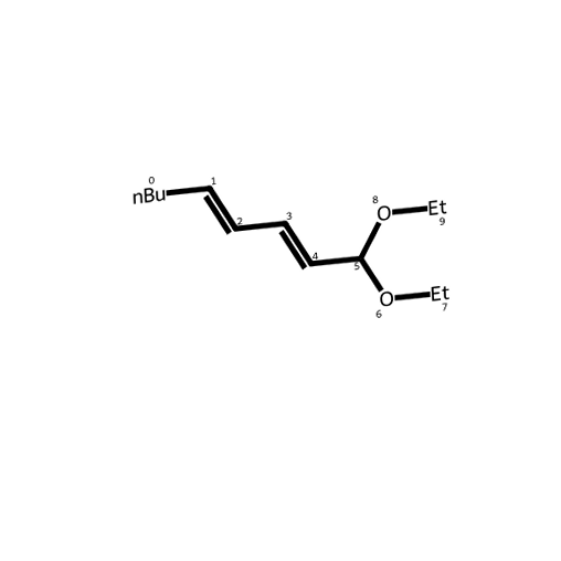 CCCCC=CC=CC(OCC)OCC